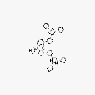 CC1(C)C2=CCCC(c3cccc(-c4cc(-c5ccccc5)nc(-c5ccccc5)n4)c3)=C2OC2CC1C=CC=C2c1cccc(-c2cc(-c3ccccc3)nc(-c3ccccc3)n2)c1